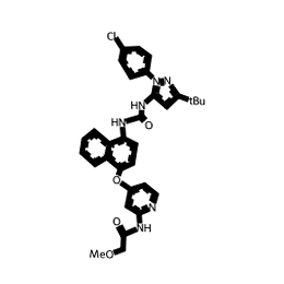 COCC(=O)Nc1cc(Oc2ccc(NC(=O)Nc3cc(C(C)(C)C)nn3-c3ccc(Cl)cc3)c3ccccc23)ccn1